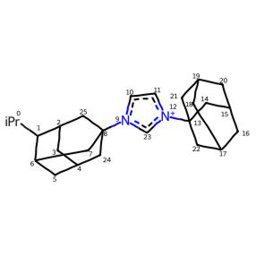 CC(C)C1C2CC3CC1CC(n1cc[n+](C45CC6CC(CC(C6)C4)C5)c1)(C3)C2